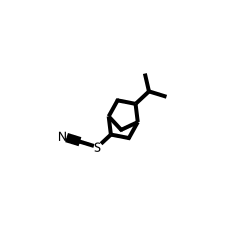 CC(C)C1CC2CC1CC2SC#N